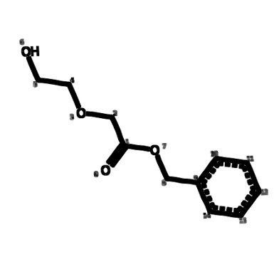 O=C(COCCO)OCc1ccccc1